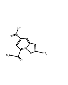 Cc1cc2cc([N+](=O)[O-])cc(C(N)=O)c2o1